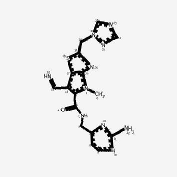 Cn1c(C(=O)NCc2ccnc(N)n2)c(C=N)c2sc(Cn3cncn3)nc21